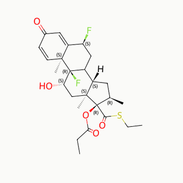 CCSC(=O)[C@@]1(OC(=O)CC)[C@H](C)C[C@H]2C3C[C@H](F)C4=CC(=O)C=C[C@]4(C)[C@@]3(F)[C@@H](O)C[C@@]21C